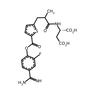 CC(Cc1ccc(C(=O)Oc2ccc(C(=N)N)cc2F)s1)C(=O)N[C@@H](CC(=O)O)C(=O)O